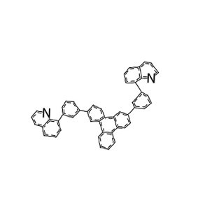 c1cc(-c2ccc3c(c2)c2ccccc2c2ccc(-c4cccc(-c5cccc6cccnc56)c4)cc23)cc(-c2cccc3cccnc23)c1